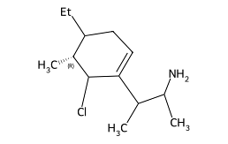 CCC1CC=C(C(C)C(C)N)C(Cl)[C@@H]1C